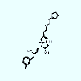 Cc1cccc(C[C@@H](O)/C=C/[C@@H]2[C@H]3CC(CCSCCN4CCCC4)=C[C@H]3C[C@H]2O)c1